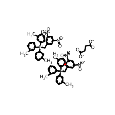 Cc1cccc([P+](Cc2cc([N+](=O)[O-])cc([N+](=O)[O-])c2)(c2cccc(C)c2)c2cccc(C)c2)c1.Cc1cccc([P+](Cc2cc([N+](=O)[O-])cc([N+](=O)[O-])c2)(c2cccc(C)c2)c2cccc(C)c2)c1.O=C([O-])CCC(=O)[O-]